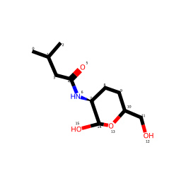 CC(C)CC(=O)N[C@H]1CCC(CO)OC1O